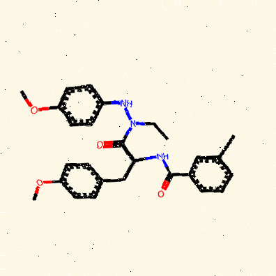 CCN(Nc1ccc(OC)cc1)C(=O)C(Cc1ccc(OC)cc1)NC(=O)c1cccc(C)c1